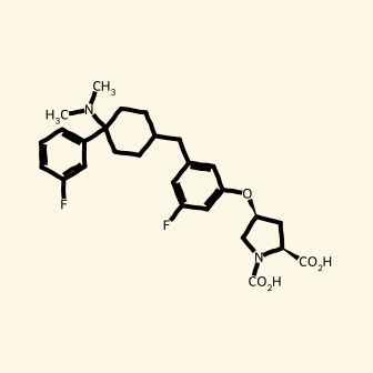 CN(C)C1(c2cccc(F)c2)CCC(Cc2cc(F)cc(O[C@H]3C[C@@H](C(=O)O)N(C(=O)O)C3)c2)CC1